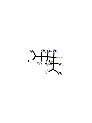 CC(C)C(C)(C)C(C)(C)C(C)(F)C(C)(C)C(C)C